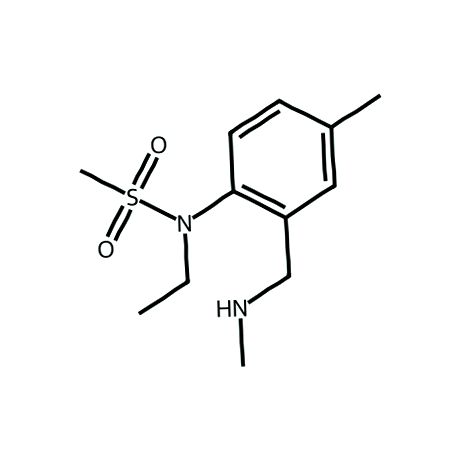 CCN(c1ccc(C)cc1CNC)S(C)(=O)=O